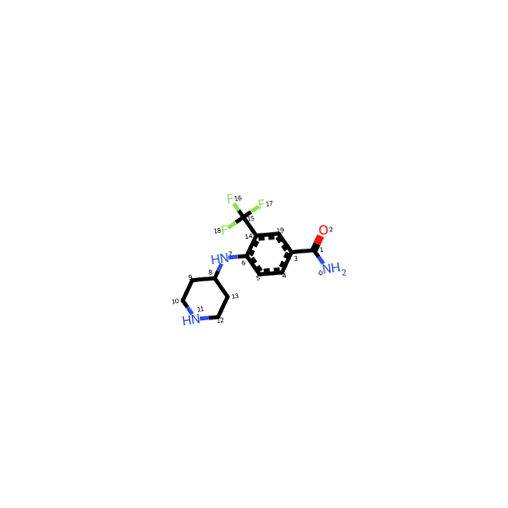 NC(=O)c1ccc(NC2CCNCC2)c(C(F)(F)F)c1